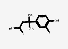 CCCC(I)CC(C)(C)c1ccc(O)c(I)c1